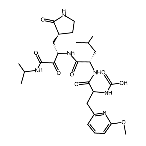 COc1cccc(CC(NC(=O)O)C(=O)N[C@@H](CC(C)C)C(=O)N[C@@H](C[C@@H]2CCNC2=O)C(=O)C(=O)NC(C)C)n1